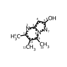 Cc1nc2cc(O)nn2c(C)c1C